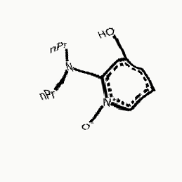 CCCN(CCC)c1c(O)ccc[n+]1[O-]